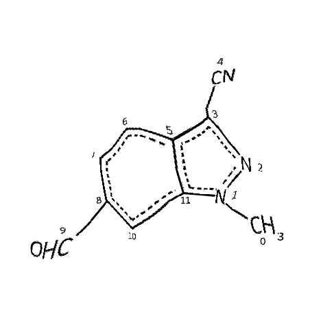 Cn1nc(C#N)c2ccc(C=O)cc21